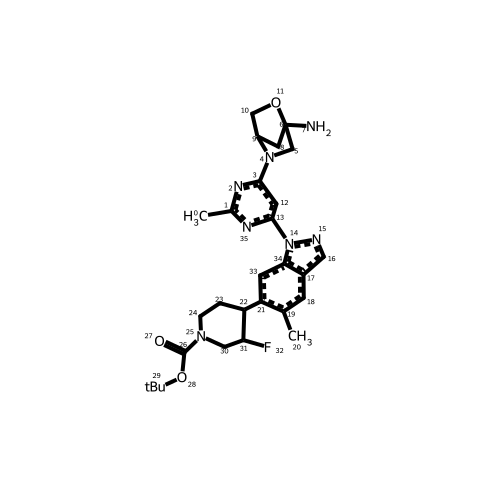 Cc1nc(N2CC3(N)CC2CO3)cc(-n2ncc3cc(C)c(C4CCN(C(=O)OC(C)(C)C)CC4F)cc32)n1